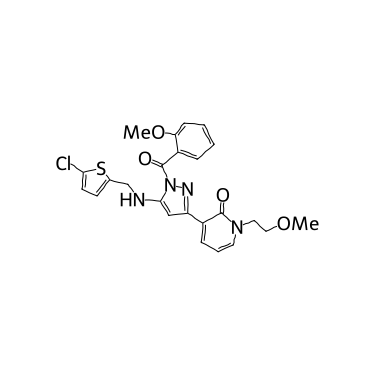 COCCn1cccc(-c2cc(NCc3ccc(Cl)s3)n(C(=O)c3ccccc3OC)n2)c1=O